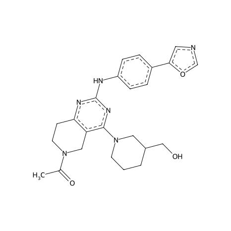 CC(=O)N1CCc2nc(Nc3ccc(-c4cnco4)cc3)nc(N3CCCC(CO)C3)c2C1